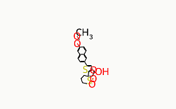 COCOc1ccc2cc(-c3ccc([C@@]4(CC(=O)O)CCCCS4(=O)=O)s3)ccc2c1